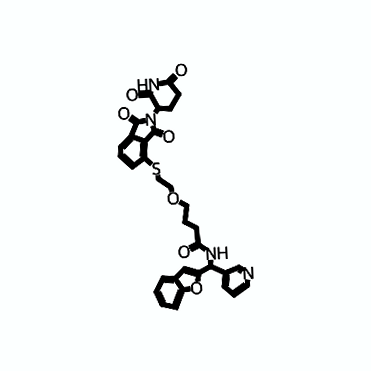 O=C1CCC(N2C(=O)c3cccc(SCCOCCCC(=O)NC(c4cccnc4)c4cc5ccccc5o4)c3C2=O)C(=O)N1